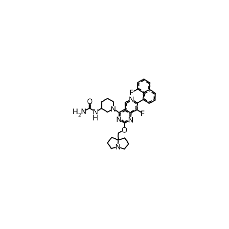 NC(=O)NC1CCCN(c2nc(OCC34CCCN3CCC4)nc3c(F)c(-c4cccc5cccc(F)c45)ncc23)C1